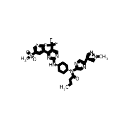 CCCC(=O)N(c1cnc(-c2cnn(C)c2)cn1)[C@H]1CC[C@H](Nc2ncc(C(F)(F)F)c(-c3cncc(S(C)(=O)=O)c3)n2)CC1